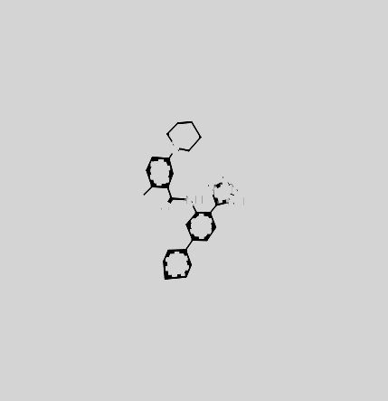 Cc1ccc(N2CCCCC2)cc1C(=O)Nc1cc(-c2ccccc2)ccc1-c1nnn[nH]1